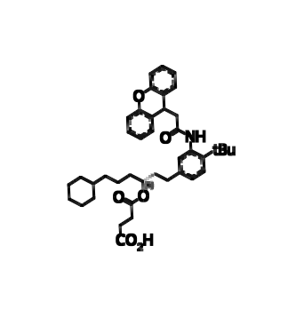 CC(C)(C)c1ccc(CC[C@@H](CCCC2CCCCC2)OC(=O)CCC(=O)O)cc1NC(=O)CC1c2ccccc2Oc2ccccc21